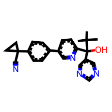 CC(C)(C)C(O)(c1cncnc1)c1ccc(-c2ccc(C3(C#N)CC3)cc2)cn1